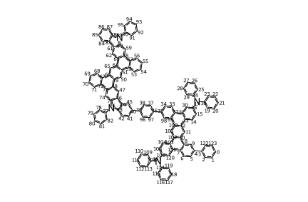 c1ccc(-c2ccc3c(c2)c2cc4c5ccc(N(c6ccccc6)c6ccccc6)cc5c5ccc(-c6ccc(-c7ccc8c(c7)c7cc9c%10cc%11c%12ccccc%12c%12cc%13c(cc%12c%11cc%10c%10ccccc%10c9cc7n8-c7ccccc7)c7ccccc7n%13-c7ccccc7)cc6)cc5c4cc2c2ccc(N(c4ccccc4)c4ccccc4)cc32)cc1